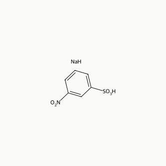 O=[N+]([O-])c1cccc(S(=O)(=O)O)c1.[NaH]